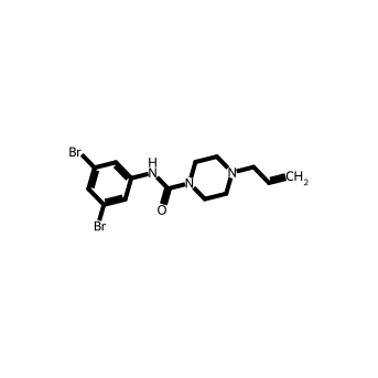 C=CCN1CCN(C(=O)Nc2cc(Br)cc(Br)c2)CC1